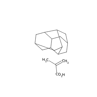 C1C2CC3C4CC5CC(C14)C(C2)C3C5.C=C(C)C(=O)O